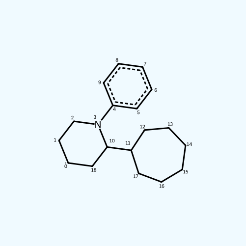 [CH]1CCN(c2ccccc2)C(C2CCCCCC2)C1